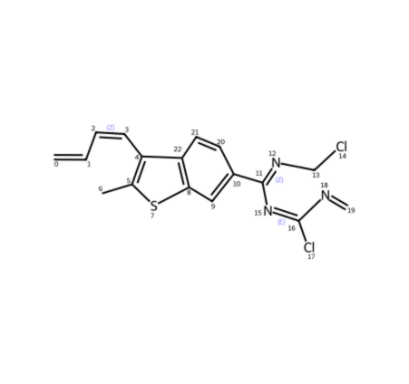 C=C/C=C\c1c(C)sc2cc(C(=N/CCl)/N=C(/Cl)N=C)ccc12